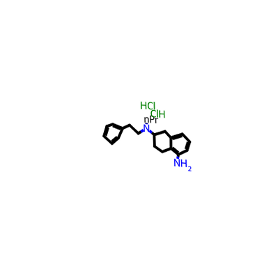 CCCN(CCc1ccccc1)C1CCc2c(N)cccc2C1.Cl.Cl